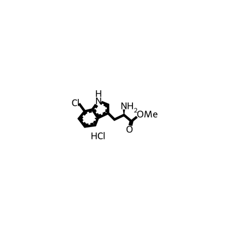 COC(=O)[C@H](N)Cc1c[nH]c2c(Cl)cccc12.Cl